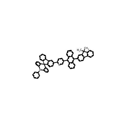 CC1(C)c2ccccc2-c2ccc(-c3c4ccccc4c(-c4ccc(-c5ccc6c(c5)-c5ccccc5C65c6ccccc6N(c6ccccc6)c6ccccc65)nc4)c4ccccc34)cc21